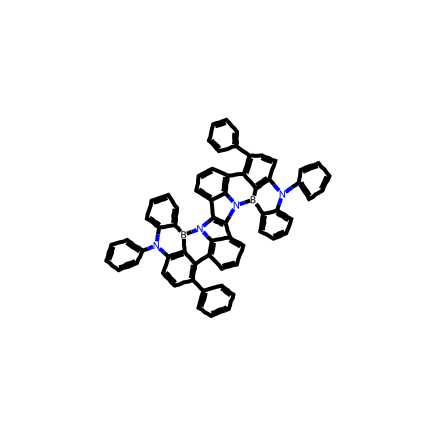 c1ccc(-c2ccc3c4c2-c2cccc5c2n(c2c6cccc7c6n(c52)B2c5ccccc5N(c5ccccc5)c5ccc(-c6ccccc6)c-7c52)B4c2ccccc2N3c2ccccc2)cc1